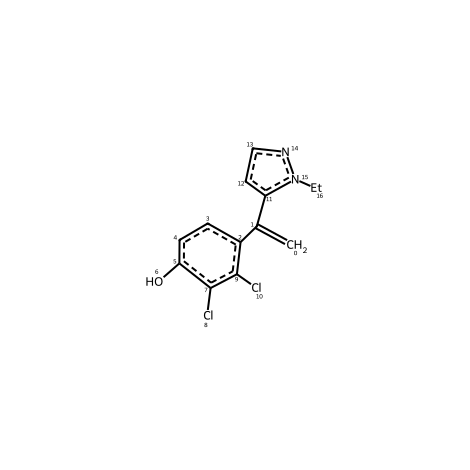 C=C(c1ccc(O)c(Cl)c1Cl)c1ccnn1CC